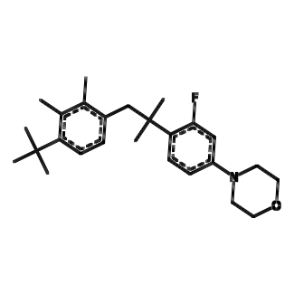 Cc1c(CC(C)(C)c2ccc(N3CCOCC3)cc2F)ccc(C(C)(C)C)c1C